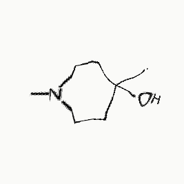 [CH2]C1(O)CCN(C)CC1